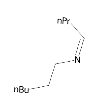 CCC/C=N\CCCCCC